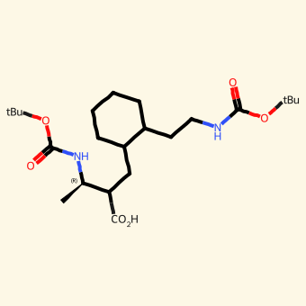 C[C@@H](NC(=O)OC(C)(C)C)C(CC1CCCCC1CCNC(=O)OC(C)(C)C)C(=O)O